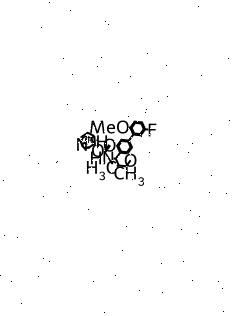 COc1ccc(F)cc1-c1ccc2c(c1)OCC(C)(C)C2NC(=O)O[C@H]1CN2CCC1CC2